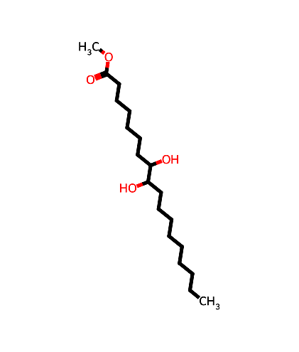 CCCCCCCCCC(O)C(O)CCCCCCC(=O)OC